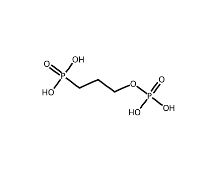 O=P(O)(O)CCCOP(=O)(O)O